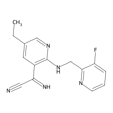 CCc1cnc(NCc2ncccc2F)c(C(=N)C#N)c1